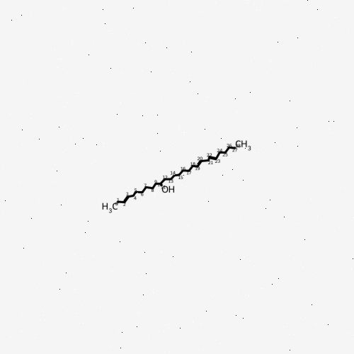 CCC=CCCCCCCC(O)CCCCCCCC=CCC=CCCCCC